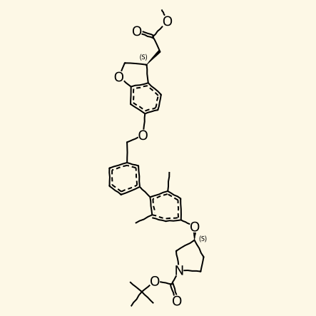 COC(=O)C[C@@H]1COc2cc(OCc3cccc(-c4c(C)cc(O[C@H]5CCN(C(=O)OC(C)(C)C)C5)cc4C)c3)ccc21